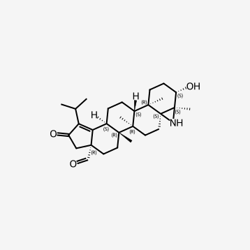 CC(C)C1=C2[C@H]3CC[C@@H]4[C@@]5(C)CC[C@H](O)[C@@]6(C)N[C@@]56CC[C@@]4(C)[C@]3(C)CC[C@@]2(C=O)CC1=O